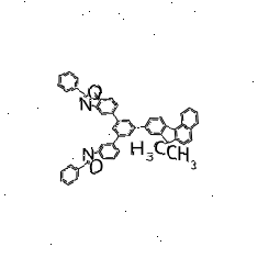 CC1(C)c2cc(-c3cc(-c4ccc5oc(-c6ccccc6)nc5c4)cc(-c4ccc5oc(-c6ccccc6)nc5c4)c3)ccc2-c2c1ccc1ccccc21